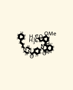 COc1ccc(C2=NN(c3ccc(C(=O)N4CCN(CC=Cc5ccccc5)CC4)cc3)C(=O)[C@@H]3CC=CC[C@H]23)c2c1OC(C)(C)C2